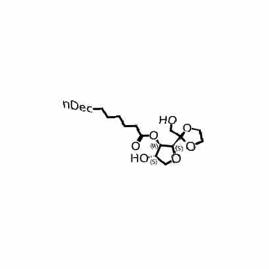 CCCCCCCCCCCCCCCC(=O)O[C@@H]1[C@@H](O)CO[C@@H]1C1(CO)OCCO1